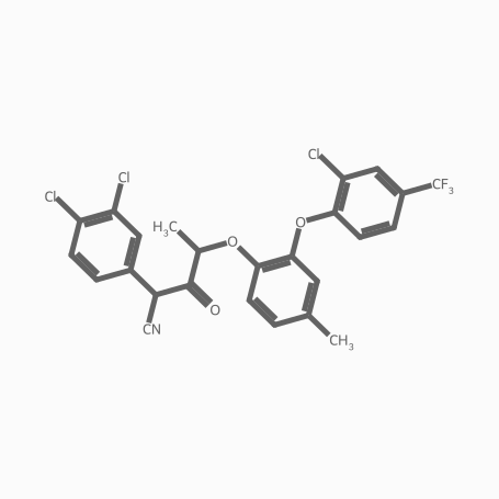 Cc1ccc(OC(C)C(=O)C(C#N)c2ccc(Cl)c(Cl)c2)c(Oc2ccc(C(F)(F)F)cc2Cl)c1